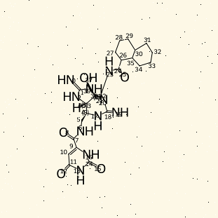 N=C1N[C@H]2[C@H](CNC(=O)c3cc(=O)[nH]c(=O)[nH]3)NC(=N)N3CC(NC(=O)C4CCCC5CCCCC54)[C@@H](O)C23N1